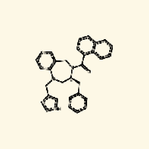 O=C(c1cccc2ccccc12)N1Cc2ccccc2N(Cc2c[nH]cn2)C[C@@H]1Cc1ccccc1